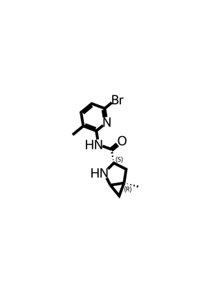 Cc1ccc(Br)nc1NC(=O)[C@@H]1C[C@@]2(C)CC2N1